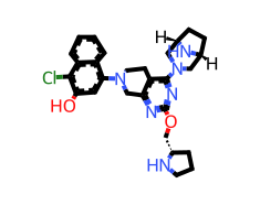 Oc1cc(N2CCc3c(nc(OC[C@@H]4CCCN4)nc3N3C[C@H]4CC[C@@H](C3)N4)C2)c2ccccc2c1Cl